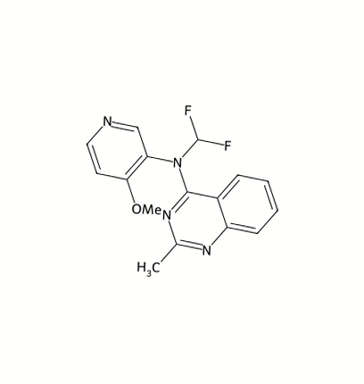 COc1ccncc1N(c1nc(C)nc2ccccc12)C(F)F